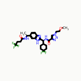 COCCn1cc(C(=O)N[C@H](c2nc3ccc([C@@H](C)NC(=O)CCC(F)(F)F)cc3[nH]2)C2CCC(F)(F)CC2)nn1